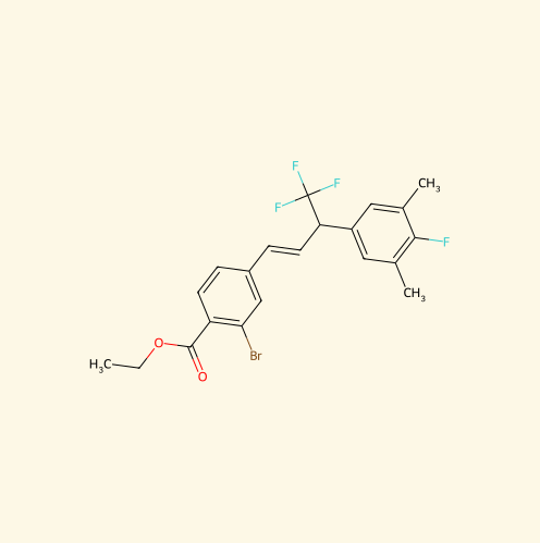 CCOC(=O)c1ccc(/C=C/C(c2cc(C)c(F)c(C)c2)C(F)(F)F)cc1Br